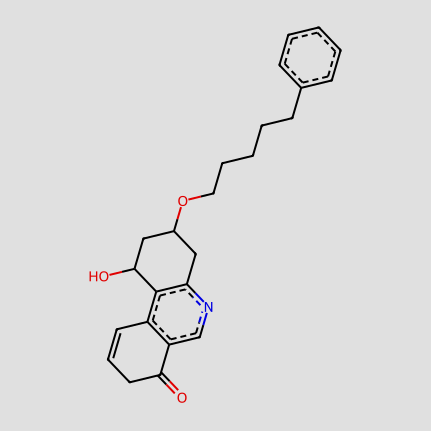 O=C1CC=Cc2c1cnc1c2C(O)CC(OCCCCCc2ccccc2)C1